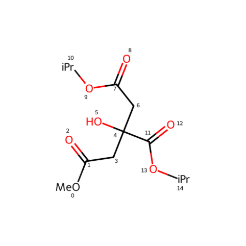 COC(=O)CC(O)(CC(=O)OC(C)C)C(=O)OC(C)C